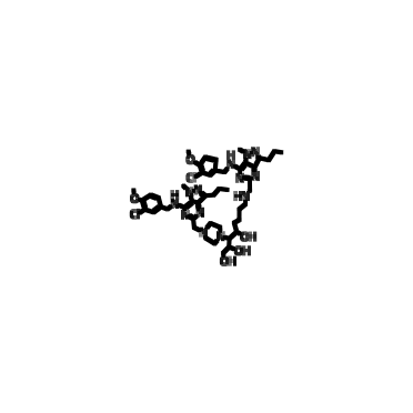 CCCc1nn(C)c2c(NCc3ccc(OC)c(Cl)c3)nc(CNCCCCC(O)C(C(O)CO)N3CCN(Cc4nc(NCc5ccc(OC)c(Cl)c5)c5c(n4)c(CCC)nn5C)CC3)nc12